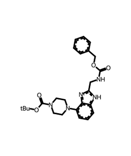 CC(C)(C)OC(=O)N1CCN(c2cccc3[nH]c(CNC(=O)OCc4ccccc4)nc23)CC1